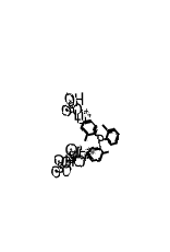 Cc1ccccc1P(c1ccccc1C)c1ccccc1C.O=[S-](=O)O.O=[S-](=O)O.O=[S-](=O)O.[Li+].[Li+].[Li+]